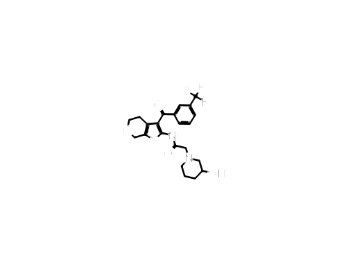 O=C(CN1CCCC(O)C1)Nc1sc2c(c1C(=O)c1cccc(C(F)(F)F)c1)CCOC2